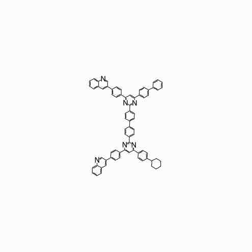 c1ccc(-c2ccc(-c3cc(-c4ccc(-c5cnc6ccccc6c5)cc4)nc(-c4ccc(-c5ccc(-c6nc(-c7ccc(-c8cnc9ccccc9c8)cc7)cc(-c7ccc(C8CCCCC8)cc7)n6)cc5)cc4)n3)cc2)cc1